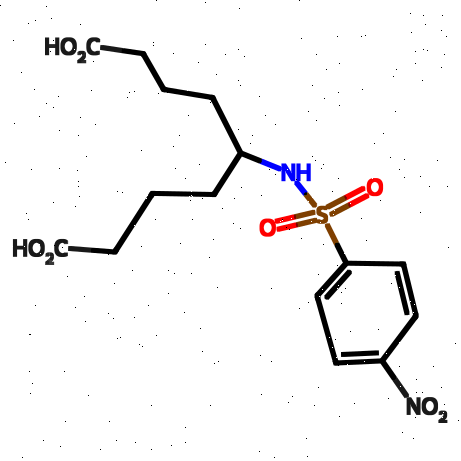 O=C(O)CCCC(CCCC(=O)O)NS(=O)(=O)c1ccc([N+](=O)[O-])cc1